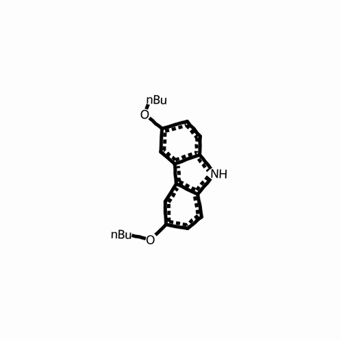 CCCCOc1ccc2[nH]c3ccc(OCCCC)cc3c2c1